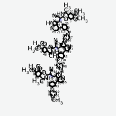 COc1ccc([C@@H](C)NC(=O)/C(C#N)=C/c2c[nH]c3nccc(-c4cccc(CN5CCN(n6cc(/C=C(\C#N)C(=O)N[C@H](C)c7ccc(OC)c(OC)c7)c7c(-c8ccc(CN9CCN(Cn%10cc(/C=C(\C#N)C(=O)N[C@H](C)c%11ccc(OC)c(OC)c%11)c%11c(-c%12cccc(N%13CCN(C)CC%13)c%12)ccnc%11%10)CC9)cc8)ccnc76)CC5)c4)c23)cc1OC